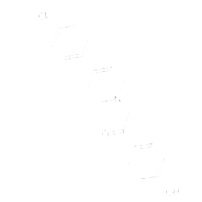 O=C(CN1CC=C(c2ccc(Cl)cc2)CC1)c1ccc(O)cc1